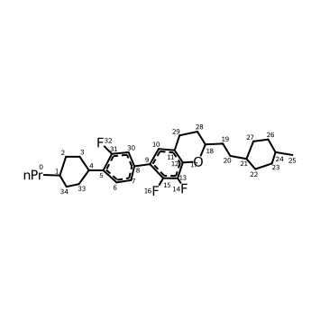 CCCC1CCC(c2ccc(-c3cc4c(c(F)c3F)OC(CCC3CCC(C)CC3)CC4)cc2F)CC1